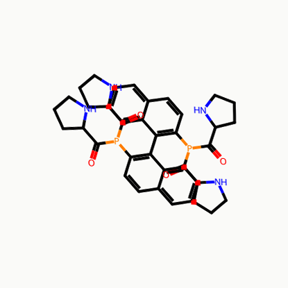 O=C(C1CCCN1)P(C(=O)C1CCCN1)c1ccc2ccccc2c1-c1c(P(C(=O)C2CCCN2)C(=O)C2CCCN2)ccc2ccccc12